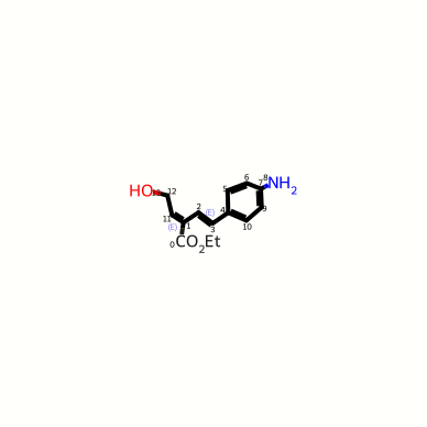 CCOC(=O)C(/C=C/c1ccc(N)cc1)=C/CO